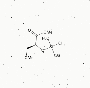 COC[C@H](O[Si](C)(C)C(C)(C)C)C(=O)OC